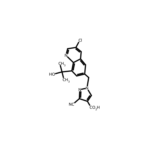 CC(C)(O)c1cc(Cn2cc(C(=O)O)c(C#N)n2)cc2cc(Cl)cnc12